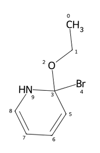 CCOC1(Br)C=CC=CN1